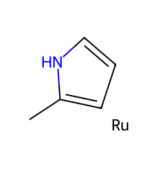 Cc1ccc[nH]1.[Ru]